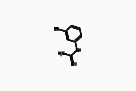 [C-]#[N+]c1cccc(NC(=N)N)c1